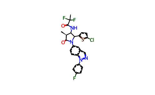 C[C@@H]1C(=O)N(c2ccc3c(cnn3-c3ccc(F)cc3)c2)C(c2ccc(Cl)s2)C1NC(=O)C(C)(F)F